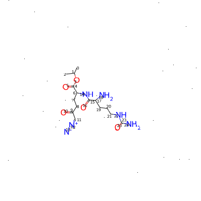 CC(C)OC(=O)C(CCC(=O)C=[N+]=[N-])NC(=O)C(N)CCCNC(N)=O